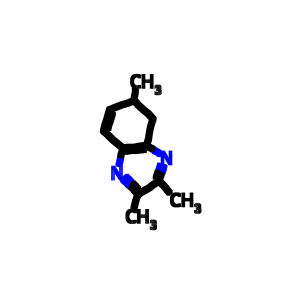 Cc1nc2c(nc1C)CC(C)C=C2